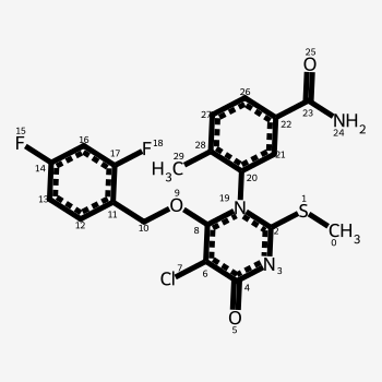 CSc1nc(=O)c(Cl)c(OCc2ccc(F)cc2F)n1-c1cc(C(N)=O)ccc1C